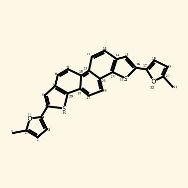 Cc1ccc(-c2cc3ccc4c5ccc6cc(-c7ccc(C)o7)sc6c5ccc4c3s2)o1